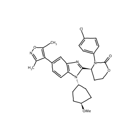 CO[C@H]1CC[C@H](n2c([C@@H]3CCOC(=O)N3c3ccc(Cl)cc3)nc3cc(-c4c(C)noc4C)ccc32)CC1